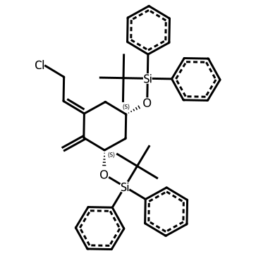 C=C1C(=CCCl)C[C@H](O[Si](c2ccccc2)(c2ccccc2)C(C)(C)C)C[C@@H]1O[Si](c1ccccc1)(c1ccccc1)C(C)(C)C